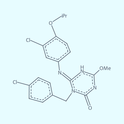 COc1nc(=O)n(Cc2ccc(Cl)cc2)/c(=N/c2ccc(OC(C)C)c(Cl)c2)[nH]1